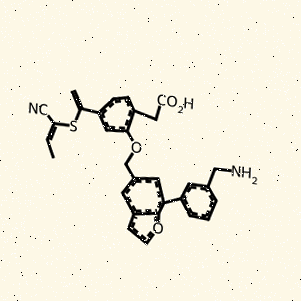 C=C(S/C(C#N)=C\C)c1ccc(CC(=O)O)c(OCc2cc(-c3cccc(CN)c3)c3occc3c2)c1